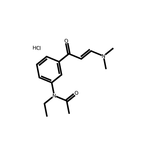 CCN(C(C)=O)c1cccc(C(=O)C=CN(C)C)c1.Cl